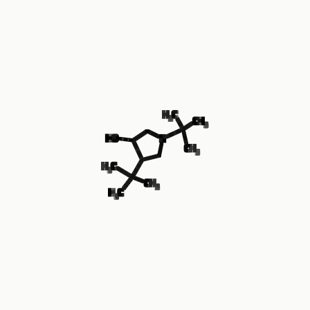 CC(C)(C)C1CN(C(C)(C)C)CC1O